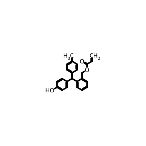 C=CC(=O)OCc1ccccc1C(c1ccc(C)cc1)c1ccc(O)cc1